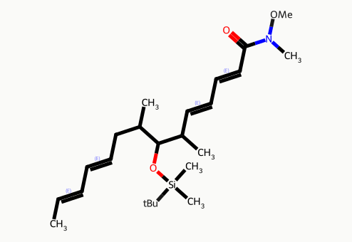 C/C=C/C=C/CC(C)C(O[Si](C)(C)C(C)(C)C)C(C)/C=C/C=C/C(=O)N(C)OC